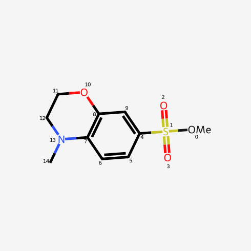 COS(=O)(=O)c1ccc2c(c1)OCCN2C